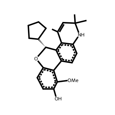 COc1c(O)ccc2c1-c1ccc3c(c1[C@@H](C1CCCC1)O2)C(C)=CC(C)(C)N3